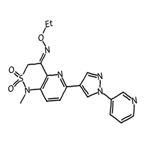 CCO/N=C1\CS(=O)(=O)N(C)c2ccc(-c3cnn(-c4cccnc4)c3)nc21